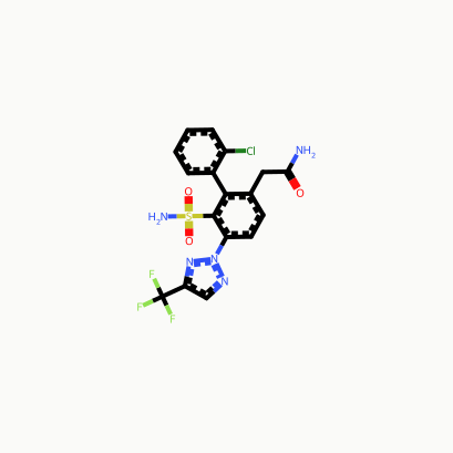 NC(=O)Cc1ccc(-n2ncc(C(F)(F)F)n2)c(S(N)(=O)=O)c1-c1ccccc1Cl